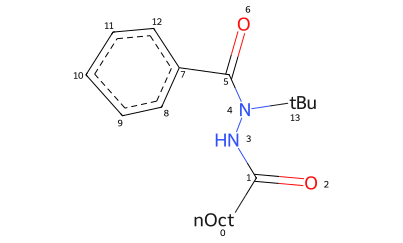 CCCCCCCCC(=O)NN(C(=O)c1ccccc1)C(C)(C)C